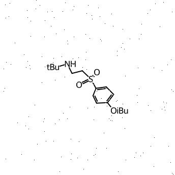 CC(C)COc1ccc(S(=O)(=O)CCNC(C)(C)C)cc1